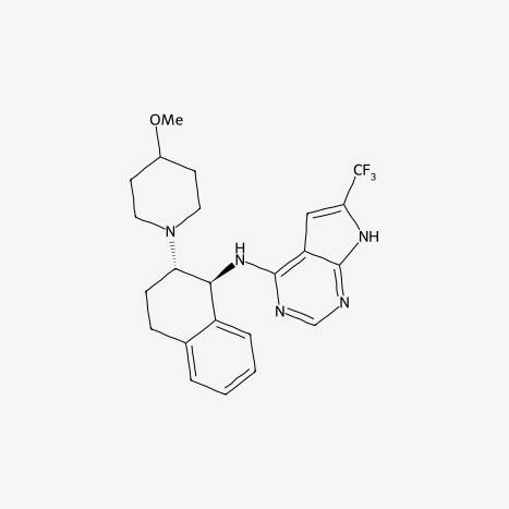 COC1CCN([C@H]2CCc3ccccc3[C@@H]2Nc2ncnc3[nH]c(C(F)(F)F)cc23)CC1